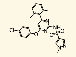 Cc1cccc(C)c1-c1cc(Oc2ccc(Cl)cc2)nc(NS(=O)(=O)c2cnn(C)c2)n1